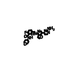 Nc1nccc(-c2cnc(NCc3ccc(F)c(C(=O)NC4CCOCC4)c3)c3c2OCC3)n1